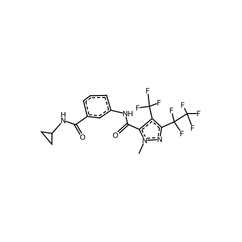 Cn1nc(C(F)(F)C(F)(F)F)c(C(F)(F)F)c1C(=O)Nc1cccc(C(=O)NC2CC2)c1